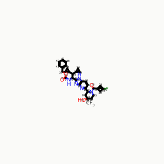 O=C(NC(c1nc2nc(C3CC(O)(C(F)(F)F)CCN3C(=O)C34CC(F)(C3)C4)ccc2[nH]1)C(C1CC1)C1CC1)OCc1ccccc1